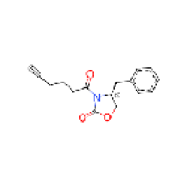 C#CCCCC(=O)N1C(=O)OC[C@@H]1Cc1ccccc1